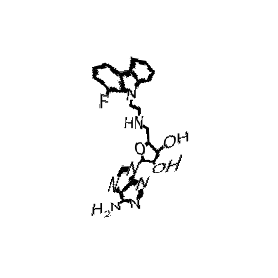 Nc1ncnc2c1ncn2C1OC(CNCCn2c3ccccc3c3cccc(F)c32)C(O)C1O